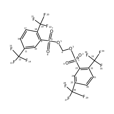 O=S(=O)(OCOS(=O)(=O)c1cc(C(F)(F)F)ccc1C(F)(F)F)c1cc(C(F)(F)F)ccc1C(F)(F)F